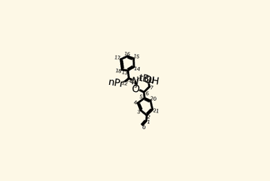 C=Cc1ccc(C(CO)ON(C(CCC)c2ccccc2)C(C)(C)C)cc1